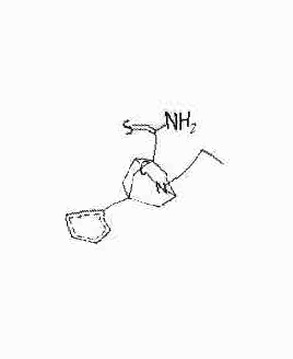 CCN1CC2CC3(c4ccccc4)CC1CC2(C(N)=S)C3